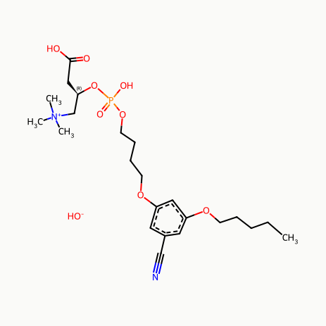 CCCCCOc1cc(C#N)cc(OCCCCOP(=O)(O)O[C@H](CC(=O)O)C[N+](C)(C)C)c1.[OH-]